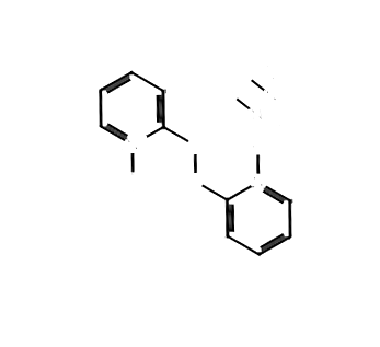 O=[N+]([O-])[O-].O=[N+]([O-])[O-].[Ca+2].[O-][n+]1ccccc1SSc1cccc[n+]1[O-]